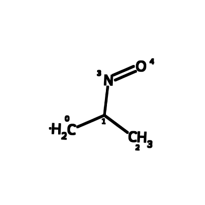 [CH2]C(C)N=O